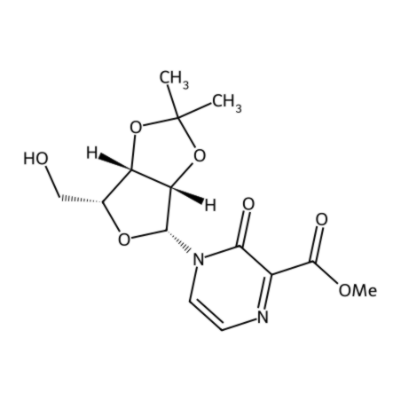 COC(=O)c1nccn([C@@H]2O[C@H](CO)[C@@H]3OC(C)(C)O[C@@H]32)c1=O